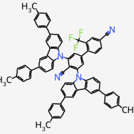 Cc1ccc(-c2ccc3c(c2)c2cc(-c4ccc(C)cc4)ccc2n3-c2cc(-c3ccc(C#N)cc3C(F)(F)F)cc(-n3c4ccc(-c5ccc(C)cc5)cc4c4cc(-c5ccc(C)cc5)ccc43)c2C#N)cc1